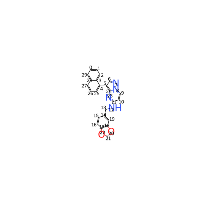 c1ccc2c(-c3cnn4ccc(NCc5ccc6c(c5)OCO6)nc34)cccc2c1